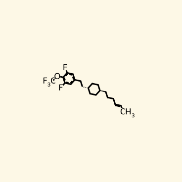 C/C=C/CCC[C@H]1CC[C@H](CCc2cc(F)c(OC(F)(F)F)c(F)c2)CC1